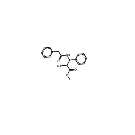 COC(=O)C(N)C(NC(=O)Cc1ccccc1)c1ccccc1